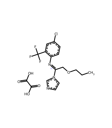 CCCOC/C(=N\c1ccc(Cl)cc1C(F)(F)F)n1ccnc1.O=C(O)C(=O)O